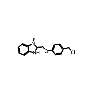 CN1c2ccccc2NC1COc1ccc(CCl)cc1